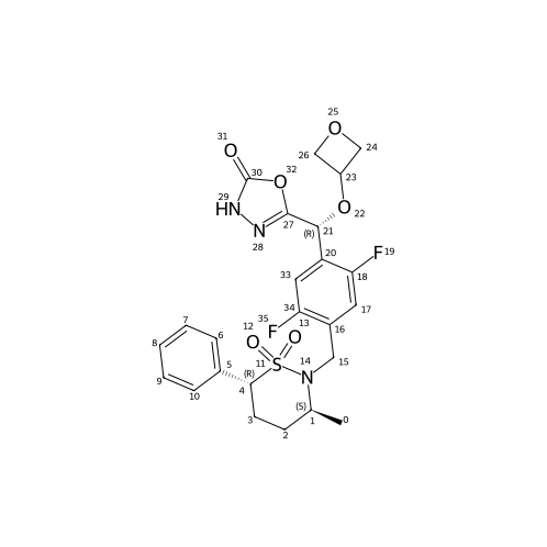 C[C@H]1CC[C@H](c2ccccc2)S(=O)(=O)N1Cc1cc(F)c([C@@H](OC2COC2)c2n[nH]c(=O)o2)cc1F